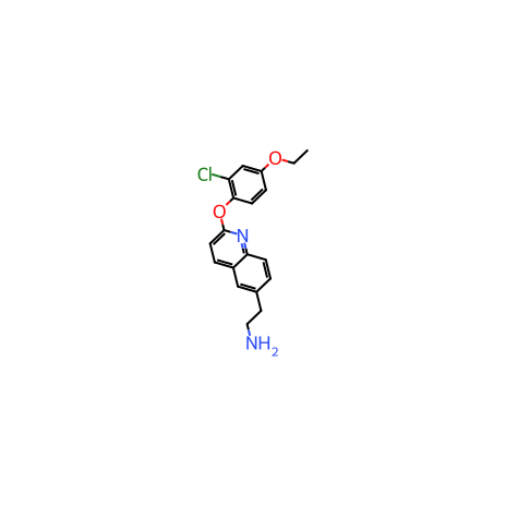 CCOc1ccc(Oc2ccc3cc(CCN)ccc3n2)c(Cl)c1